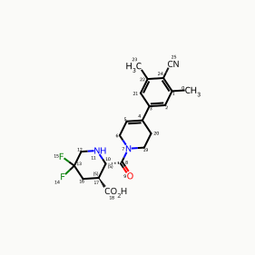 Cc1cc(C2=CCN(C(=O)[C@H]3NCC(F)(F)C[C@@H]3C(=O)O)CC2)cc(C)c1C#N